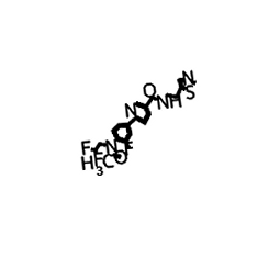 CC(=O)N(CC(F)F)c1ccc(-c2ccc(C(=O)NCCc3cncs3)cn2)cc1F